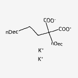 CCCCCCCCCCCCC(CCCCCCCCCC)(C(=O)[O-])C(=O)[O-].[K+].[K+]